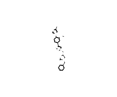 COc1cc(-c2cn(C[C@H]3CN(Cc4ccccc4)C(=O)O3)nn2)ccc1-n1cnc(C)c1